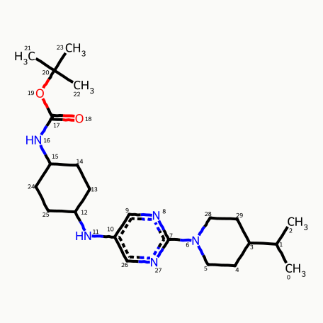 CC(C)C1CCN(c2ncc(NC3CCC(NC(=O)OC(C)(C)C)CC3)cn2)CC1